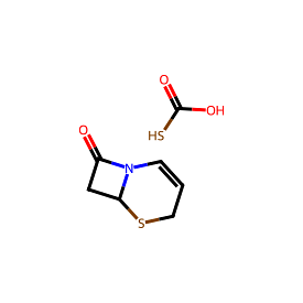 O=C(O)S.O=C1CC2SCC=CN12